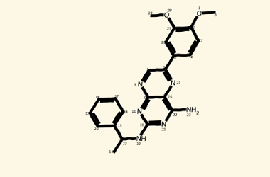 COc1ccc(-c2cnc3nc(NC(C)c4ccccc4)nc(N)c3n2)cc1OC